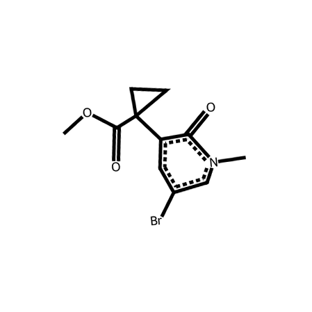 COC(=O)C1(c2cc(Br)cn(C)c2=O)CC1